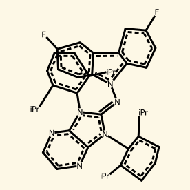 CC(C)c1cccc(C(C)C)c1-n1c(=Nn2c3ccc(F)cc3c3cc(F)ccc32)n(-c2c(C(C)C)cccc2C(C)C)c2nccnc21